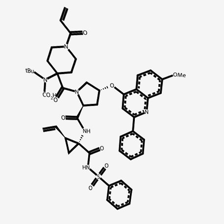 C=CC(=O)N1CCC(C(=O)N2C[C@H](Oc3cc(-c4ccccc4)nc4cc(OC)ccc34)C[C@H]2C(=O)N[C@]2(C(=O)NS(=O)(=O)c3ccccc3)C[C@H]2C=C)(N(C(=O)O)C(C)(C)C)CC1